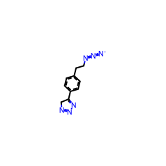 [N-]=[N+]=NCCc1ccc(C2=NN=NC2)cc1